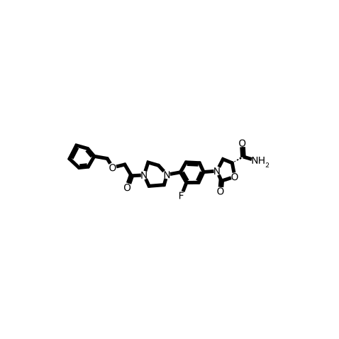 NC(=O)[C@H]1CN(c2ccc(N3CCN(C(=O)COCc4ccccc4)CC3)c(F)c2)C(=O)O1